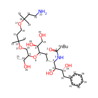 CCCCC(=O)N[C@@H](CCC(OC(COC(C)(C)CCOC(C)(C)CCN)[C@@H](C)O)[C@@H](O)CO)[C@H](O)[C@H](O)Cc1ccccc1